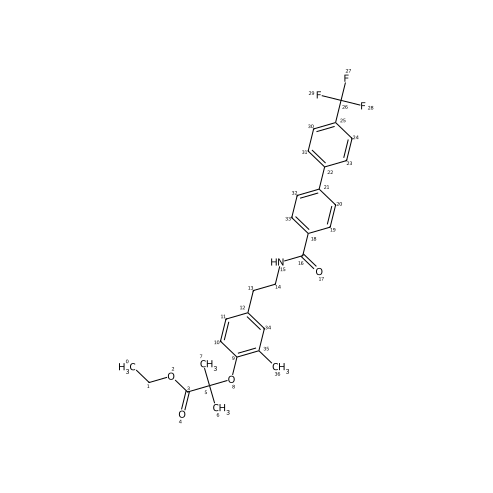 CCOC(=O)C(C)(C)Oc1ccc(CCNC(=O)c2ccc(-c3ccc(C(F)(F)F)cc3)cc2)cc1C